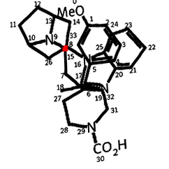 COc1cccc(C2(CCN3C4CCC3CC(n3c(C)nc5ccccc53)C4)CCN(C(=O)O)CC2)c1